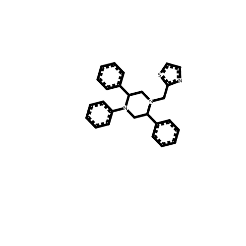 [c]1csc(CN2CC(c3ccccc3)N(c3ccccc3)CC2c2ccccc2)n1